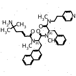 CN(CCc1ccncc1)C(=O)[C@@H](Cc1ccccc1)N(C)C(=O)[C@@H](Cc1ccc2ccccc2c1)N(C)C(=O)C=CCC(C)(C)N